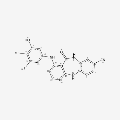 N#Cc1ccc2c(c1)NC(=O)c1c(Nc3cc(O)c(F)c(F)c3)ccnc1N2